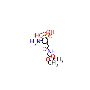 COC(CNC(=O)Cc1cc(N)c(O)c(S(=O)(=O)O)c1)OC